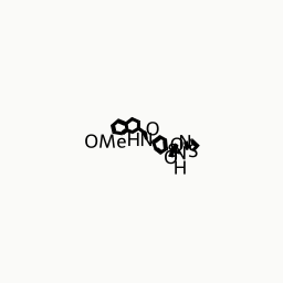 COc1cccc2c1CC(C(=O)Nc1ccc(S(=O)(=O)Nc3nccs3)cc1)CC2